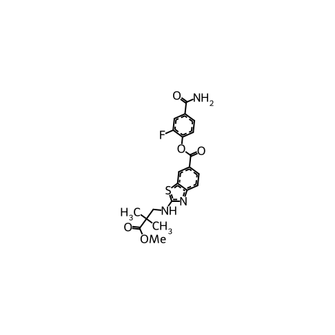 COC(=O)C(C)(C)CNc1nc2ccc(C(=O)Oc3ccc(C(N)=O)cc3F)cc2s1